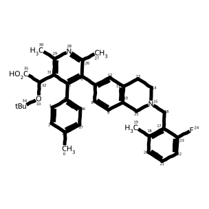 Cc1ccc(-c2c(-c3ccc4c(c3)CCN(Cc3c(C)cccc3F)C4)c(C)nc(C)c2C(OC(C)(C)C)C(=O)O)cc1